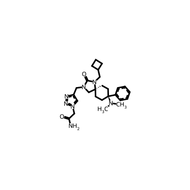 CN(C)[C@]1(c2ccccc2)CC[C@]2(CC1)CN(Cc1cn(CC(N)=O)nn1)C(=O)N2CC1CCC1